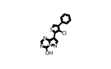 Oc1ncnc2c(-c3scc(-c4ccccc4)c3Cl)cnn12